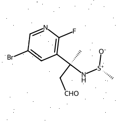 C[S@@+]([O-])N[C@@](C)(CC=O)c1cc(Br)cnc1F